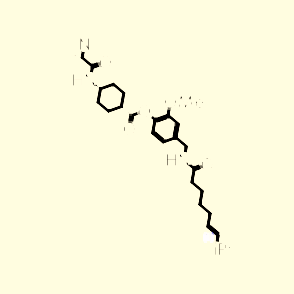 COc1cc(CNC(=O)CCCC/C=C/C(C)C)ccc1OC(=O)[C@H]1CC[C@H](NC(=O)CN)CC1